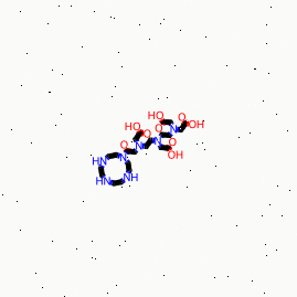 O=C(O)CN(CCN(CC(=O)O)CC(=O)O)CCN(CC(=O)O)CC(=O)N1CCNCCNCCNCC1